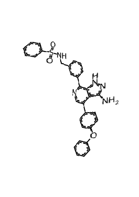 Nc1n[nH]c2c(-c3cccc(CNS(=O)(=O)c4ccccc4)c3)ncc(-c3ccc(Oc4ccccc4)cc3)c12